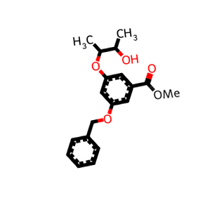 COC(=O)c1cc(OCc2ccccc2)cc(OC(C)C(C)O)c1